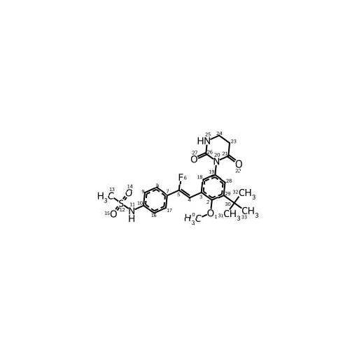 COc1c(/C=C(\F)c2ccc(NS(C)(=O)=O)cc2)cc(N2C(=O)CCNC2=O)cc1C(C)(C)C